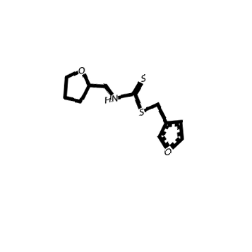 S=C(NCC1CCCO1)SCc1ccoc1